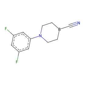 N#CB1CCN(c2cc(F)cc(F)c2)CC1